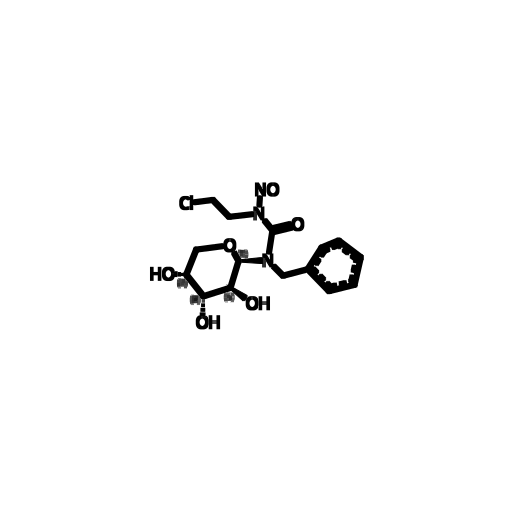 O=NN(CCCl)C(=O)N(Cc1ccccc1)[C@@H]1OC[C@@H](O)[C@@H](O)[C@@H]1O